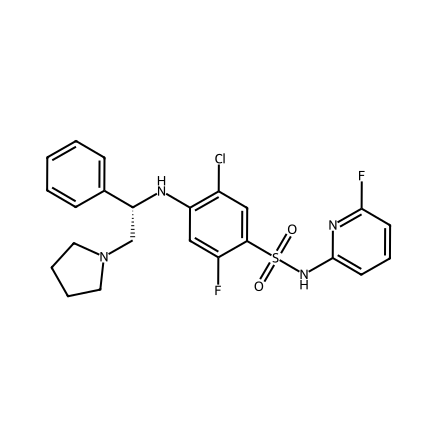 O=S(=O)(Nc1cccc(F)n1)c1cc(Cl)c(N[C@H](CN2CCCC2)c2ccccc2)cc1F